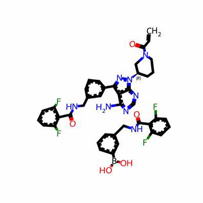 C=CC(=O)N1CCC[C@@H](n2nc(-c3cccc(CNC(=O)c4c(F)cccc4F)c3)c3c(N)ncnc32)C1.O=C(NCc1cccc(B(O)O)c1)c1c(F)cccc1F